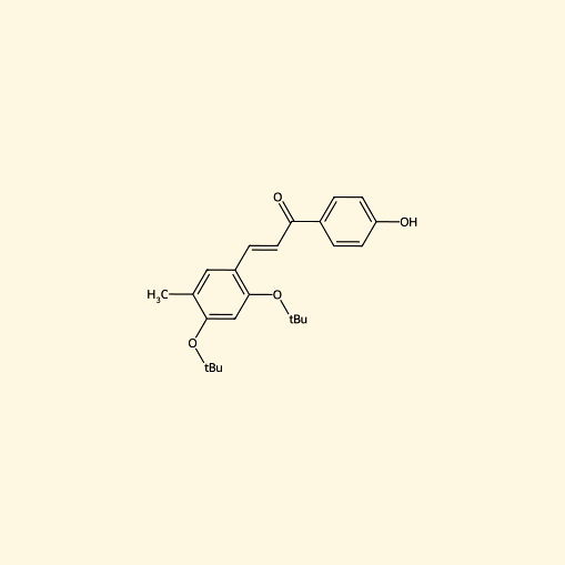 Cc1cc(/C=C/C(=O)c2ccc(O)cc2)c(OC(C)(C)C)cc1OC(C)(C)C